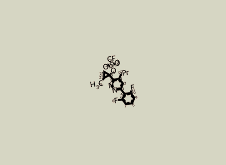 CC(C)c1cc(-c2c(F)cccc2F)nnc1[C@@]1(OS(=O)(=O)C(F)(F)F)CC1C